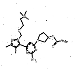 CNC(=O)O[C@@H]1CCN(c2cc(-c3c(C)c(C)nn3COCC[Si](C)(C)C)nc(N)n2)C1